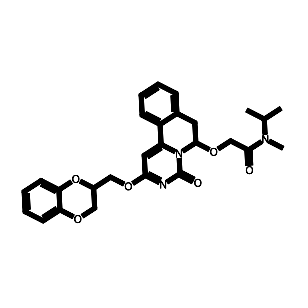 CC(C)N(C)C(=O)COC1Cc2ccccc2-c2cc(OCC3COc4ccccc4O3)nc(=O)n21